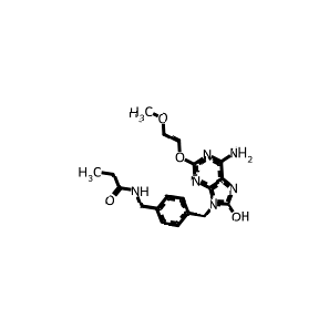 CCC(=O)NCc1ccc(Cn2c(O)nc3c(N)nc(OCCOC)nc32)cc1